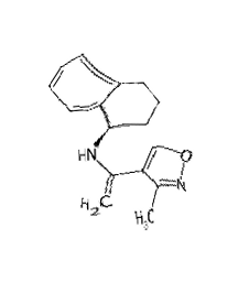 C=C(N[C@@H]1CCCc2ccccc21)c1conc1C